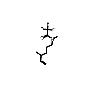 C=CC(C)CCCN(C)C(=O)C(F)(F)F